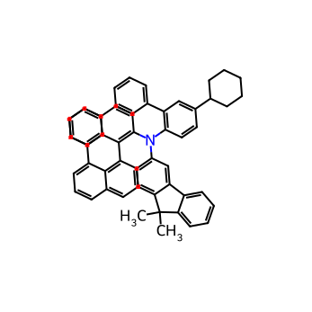 CC1(C)c2ccccc2-c2cc(N(c3ccc(C4CCCCC4)cc3-c3ccccc3)c3ccc4ccccc4c3-c3cccc4cccc(C5CCCCC5)c34)ccc21